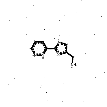 NCc1cnc(-c2cccnn2)s1